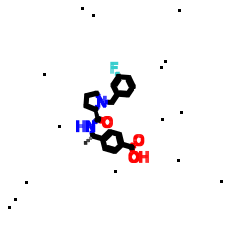 C[C@H](NC(=O)[C@H]1CCCN1Cc1cccc(F)c1)c1ccc(C(=O)O)cc1